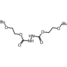 CCC(C)OCCOC(=O)NNC(=O)OCCOC(C)CC